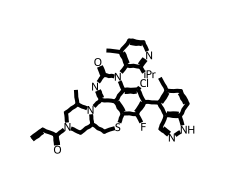 C=CC(=O)N1CC(C)N2c3nc(=O)n(-c4c(C)ccnc4C(C)C)c4c(Cl)c(-c5c(C)ccc6[nH]ncc56)c(F)c(c34)SCC2C1